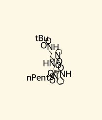 CCCCCS(=O)(=O)N1c2ccccc2NC(=O)[C@H]1CC(=O)N[C@@H](CCCNC(=O)OC(C)(C)C)C(=O)N1CCCC1